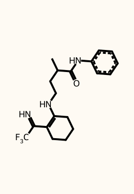 CC(CCNC1=C(C(=N)C(F)(F)F)CCCC1)C(=O)Nc1ccccc1